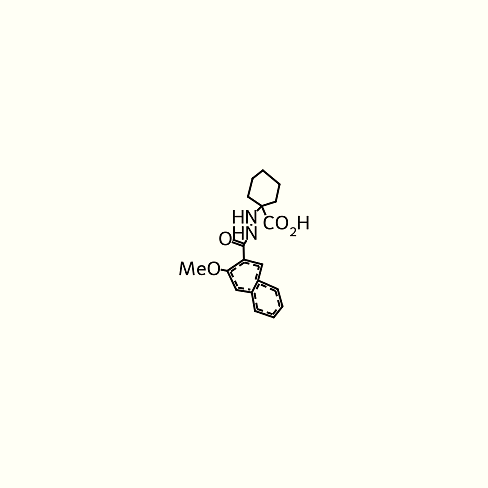 COc1cc2ccccc2cc1C(=O)NNC1(C(=O)O)CCCCC1